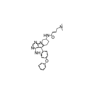 CN(C)C/C=C/C(=O)NC1CCc2c(-c3ccc(Oc4ccccc4)cc3)c3c(N)ncnc3n2C1